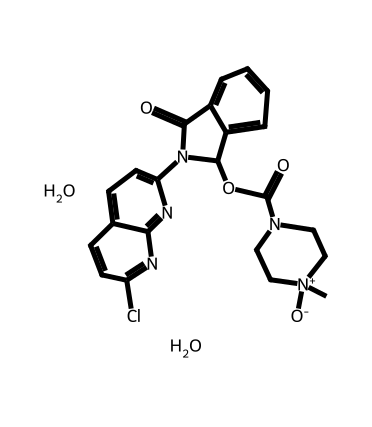 C[N+]1([O-])CCN(C(=O)OC2c3ccccc3C(=O)N2c2ccc3ccc(Cl)nc3n2)CC1.O.O